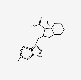 O=C(O)N1C(Cc2c[nH]c3cc(F)ccc23)CC2CCCC[C@@H]21